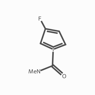 CNC(=O)I1=CC=C(F)C=1